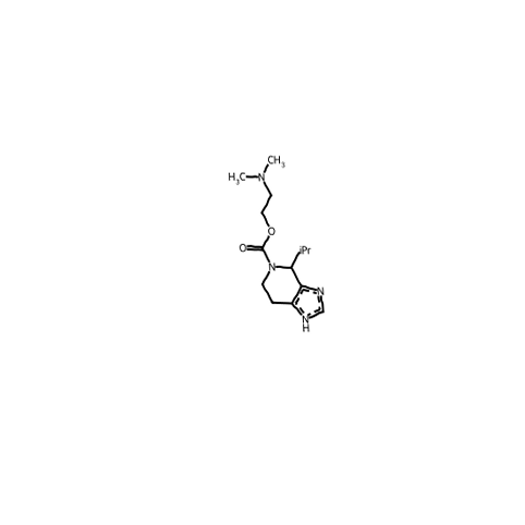 CC(C)C1c2nc[nH]c2CCN1C(=O)OCCN(C)C